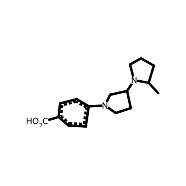 CC1CCCN1C1CCN(c2ccc(C(=O)O)cc2)C1